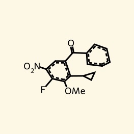 COc1c(F)c([N+](=O)[O-])cc(C(=O)c2ccccc2)c1C1CC1